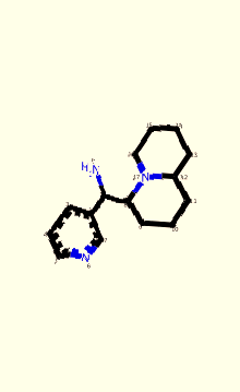 NC(c1cccnc1)C1CCCC2CCCCN21